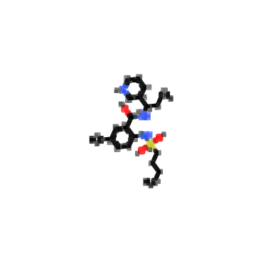 CCCCS(=O)(=O)Nc1ccc(C)cc1C(=O)NC(CC)c1cccnc1